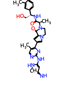 CN/C(=C\C=N)Nc1ncc(C)c(-c2cc3n(c2)CCN([C@H](C)C(=O)N[C@H](CO)c2cccc(C)c2)C3=O)n1